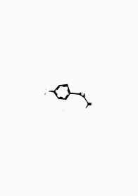 O=C([O-])C1OC1c1ccc([N+](=O)[O-])cc1.[Na+]